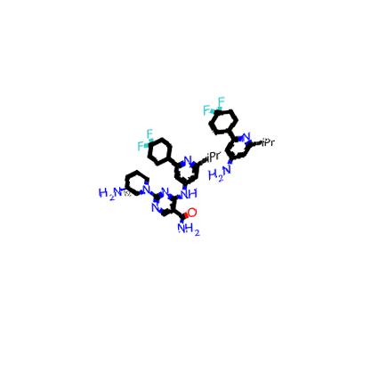 CC(C)c1cc(N)cc(C2CCC(F)(F)CC2)n1.CC(C)c1cc(Nc2nc(N3CCC[C@H](N)C3)ncc2C(N)=O)cc(C2CCC(F)(F)CC2)n1